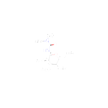 CCCN(N=O)C(=O)N[C@@H]1O[C@H](COC(C)=O)[C@@H](OC(C)=O)[C@H](OC(C)=O)[C@H]1OC(C)=O